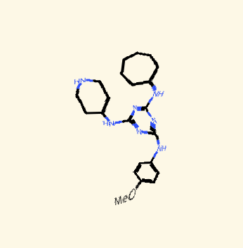 COc1ccc(Nc2nc(NC3CCCCCC3)nc(NC3CCNCC3)n2)cc1